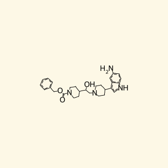 Nc1ccc2[nH]cc(C3CCN(CC(O)C4CCN(C(=O)OCc5ccccc5)CC4)CC3)c2c1